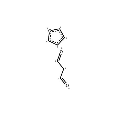 O=CCC=O.c1ccoc1